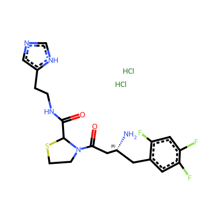 Cl.Cl.N[C@@H](CC(=O)N1CCSC1C(=O)NCCc1cnc[nH]1)Cc1cc(F)c(F)cc1F